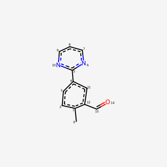 Cc1ccc(-c2ncccn2)cc1C=O